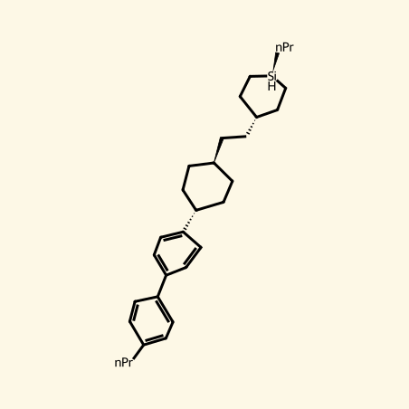 CCCc1ccc(-c2ccc([C@H]3CC[C@H](CC[C@H]4CC[Si@H](CCC)CC4)CC3)cc2)cc1